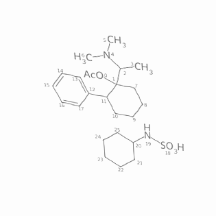 CC(=O)OC1(C(C)N(C)C)CCCCC1c1ccccc1.O=S(=O)(O)NC1CCCCC1